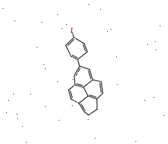 Ic1ccc(-c2cc3ccc4c5c(ccc(c2)c35)=CCC4)cc1